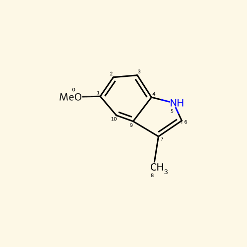 COc1ccc2[nH][c]c(C)c2c1